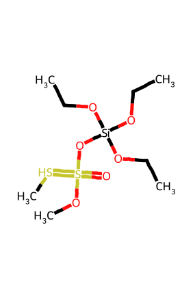 CCO[Si](OCC)(OCC)OS(=O)(OC)=[SH]C